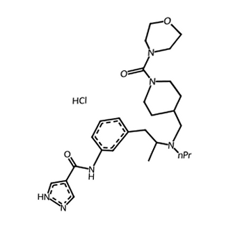 CCCN(CC1CCN(C(=O)N2CCOCC2)CC1)C(C)Cc1cccc(NC(=O)c2cn[nH]c2)c1.Cl